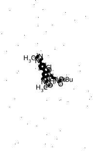 Cc1cncc(-c2ccc(-c3cc4cnc([S+](C)[O-])nc4n(CCCNC(=O)OC(C)(C)C)c3=O)c(Cl)c2)n1